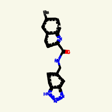 CC(C)(C)c1ccc2nc(C(=O)NCc3ccc4[nH]nnc4c3)ccc2c1